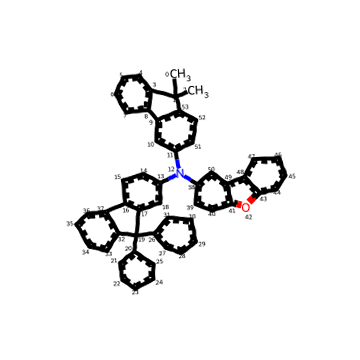 CC1(C)c2ccccc2-c2cc(N(c3ccc4c(c3)C(c3ccccc3)(c3ccccc3)c3ccccc3-4)c3ccc4oc5ccccc5c4c3)ccc21